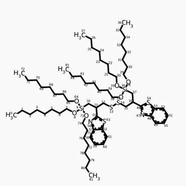 CCCCCCCCO[Si](CC(CSSCC(C[Si](OCCCCCCCC)(OCCCCCCCC)OCCCCCCCC)c1nc2ccccc2s1)c1nc2ccccc2s1)(OCCCCCCCC)OCCCCCCCC